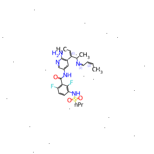 C/C=C\C=N/C(C)/C(=C/C)c1cc(NC(=O)c2c(F)ccc(NS(=O)(=O)CCC)c2F)cnc1N